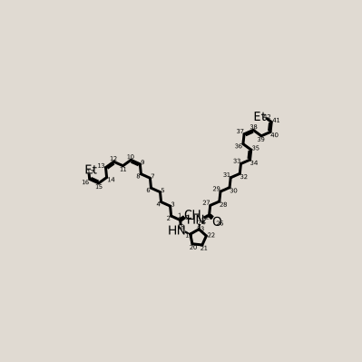 C=C(CCCCCCC/C=C\C/C=C\C/C=C\CC)N[C@@H]1CCC[C@@H]1NC(=O)CCCCCCC/C=C\C/C=C\C/C=C\CC